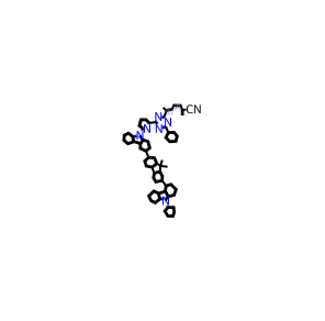 C=C(C#N)/C=C\C=C(/C)c1nc(-c2ccccc2)nc(-c2cccc(-n3c4ccccc4c4cc(-c5ccc6c(c5)C(C)(C)c5cc(-c7cccc8c7c7ccccc7n8-c7ccccc7)ccc5-6)ccc43)n2)n1